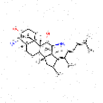 CC(=O)O[C@H]1C[C@@]2(C)[C@H](/C1=C(\C=C\C=C(C)C)C(=O)O)[C@H](N)[C@@H](O)[C@H]1[C@@]3(C)CC[C@@H](O)[C@@H](N)[C@@H]3CC[C@@]12C